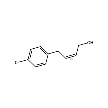 OC/C=C\Cc1ccc(Cl)cc1